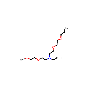 CCCOCCOCCN(CC=O)CCOCCOCCC(C)CC